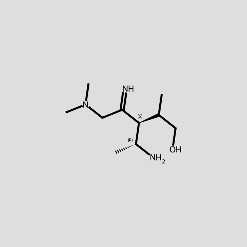 CC(CO)[C@H](C(=N)CN(C)C)[C@@H](C)N